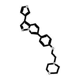 c1cc(-c2cnn3cc(-c4ccc(OCCN5CCOCC5)cc4)ccc23)co1